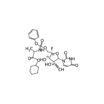 C#C[C@]1(O)C(n2ccc(=O)[nH]c2=O)O[C@](F)(COP(=O)(NC(C)C(=O)OC2CCCCC2)Oc2ccccc2)[C@H]1O